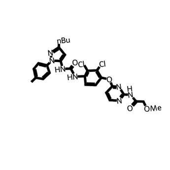 CCCCc1cc(NC(=O)Nc2ccc(Oc3ccnc(NC(=O)COC)n3)c(Cl)c2Cl)n(-c2ccc(C)cc2)n1